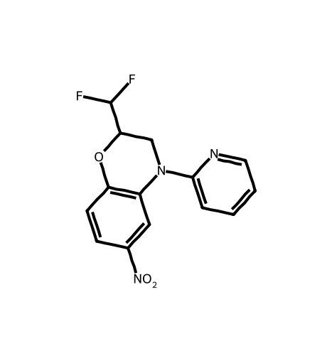 O=[N+]([O-])c1ccc2c(c1)N(c1ccccn1)CC(C(F)F)O2